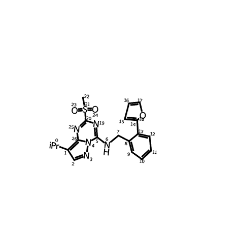 CC(C)c1cnn2c(NCc3ccccc3-c3ccco3)nc(S(C)(=O)=O)nc12